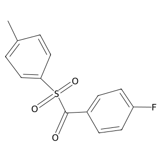 Cc1ccc(S(=O)(=O)C(=O)c2ccc(F)cc2)cc1